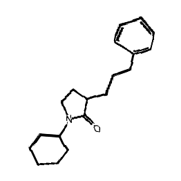 O=C1C(CCCc2ccccc2)CCN1C1CCCCC1